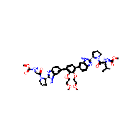 COCCOc1c(-c2ccc3nc([C@@H]4CCCN4C(=O)CNC(=O)OC)[nH]c3c2)ccc(-c2ccc3nc([C@@H]4CCCN4C(=O)C(NC(=O)OC)C(C)C)[nH]c3c2)c1OCCOC